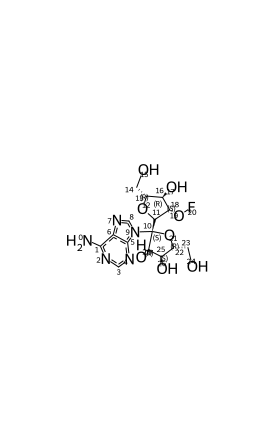 Nc1ncnc2c1ncn2[C@]1(C2O[C@H](CO)[C@@H](O)[C@@H]2OF)O[C@H](CO)[C@@H](O)[C@H]1O